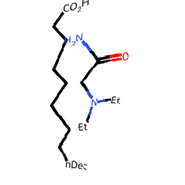 CCCCCCCCCCCCCCCCCC(=O)O.CCN(CC)CC(N)=O